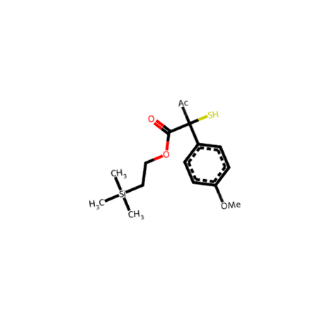 COc1ccc(C(S)(C(C)=O)C(=O)OCC[Si](C)(C)C)cc1